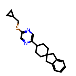 c1ccc2c(c1)CC1(CCC(c3cnc(SCC4CC4)cn3)CC1)C2